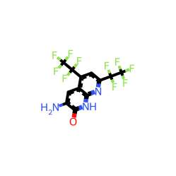 Nc1cc2c(C(F)(F)C(F)(F)F)cc(C(F)(F)C(F)(F)F)nc2[nH]c1=O